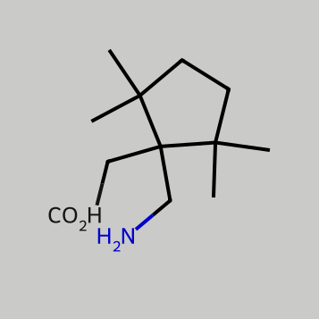 CC1(C)CCC(C)(C)C1(CN)CC(=O)O